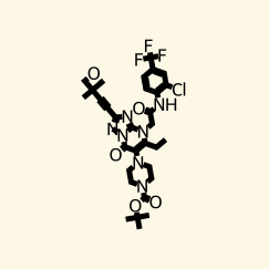 CCc1c(N2CCN(C(=O)OC(C)(C)C)CC2)c(=O)n2nc(C#CC3(C)COC3)nc2n1CC(=O)Nc1ccc(C(F)(F)F)cc1Cl